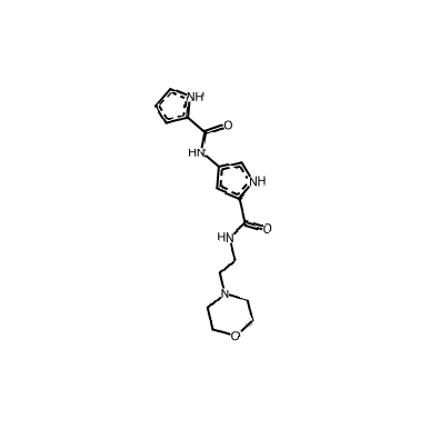 O=C(NCCN1CCOCC1)c1cc(NC(=O)c2ccc[nH]2)c[nH]1